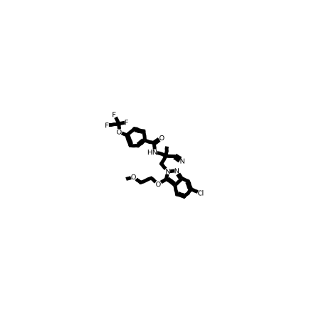 COCCOc1c2ccc(Cl)cc2nn1CC(C)(C#N)NC(=O)c1ccc(OC(F)(F)F)cc1